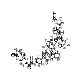 CC[C@H](C)[C@@H]([C@@H](CC(=O)N1CCC[C@H]1[C@H](OC)[C@@H](C)C(=O)N[C@@H](Cc1ccccc1)C(=O)Nc1ccc(CNC(=O)C2CCC(CN3C(=O)C=CC3=O)CC2)cc1)OC)N(C)C(=O)[C@@H](NC(=O)CC1CC[C@H](NC)C1)C(C)C